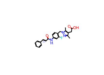 Cc1nn(Cc2ccc(NC(=O)/C=C/c3ccccc3)cc2F)c(C)c1CC(=O)O